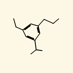 [CH2]C(C)c1cc(CC)cc(CCC)c1